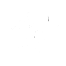 CCc1cc(C(c2cc(CC)cc(C(C)(C)C)c2O)C2CCC(C)=C(C)C2)c(O)c(C(C)(C)C)c1